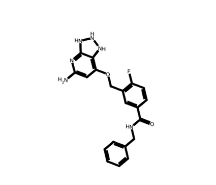 Nc1cc(OCc2cc(C(=O)NCc3ccccc3)ccc2F)c2c(n1)NNN2